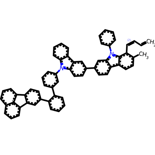 C=C/C=C\c1c(C)ccc2c3ccc(-c4ccc5c(c4)c4ccccc4n5-c4cccc(-c5ccccc5-c5ccc6c(c5)-c5cccc7cccc-6c57)c4)cc3n(-c3ccccc3)c12